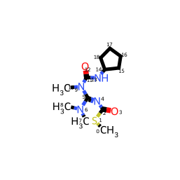 CSC(=O)N=C(N(C)C)N(C)C(=O)NC1CCCC1